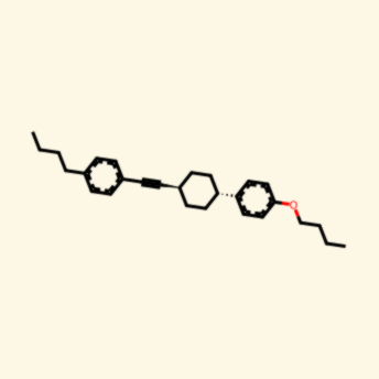 CCCCOc1ccc([C@H]2CC[C@H](C#Cc3ccc(CCCC)cc3)CC2)cc1